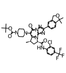 C[C@@H]1C[C@H](C(=O)Nc2ccc(C(F)(F)F)cc2Cl)n2c1c(N1CCN(C(=O)OC(C)(C)C)CC1)c(=O)n1nc(-c3ccc4c(c3)COC4(C)C)nc21